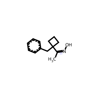 C/C(=N/O)C1(Cc2ccccc2)CCC1